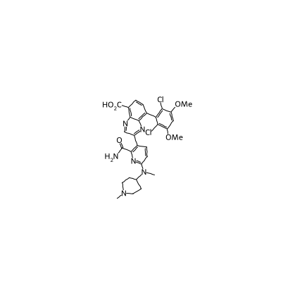 COc1cc(OC)c(Cl)c(-c2ccc(C(=O)O)c3ncc(-c4ccc(N(C)C5CCN(C)CC5)nc4C(N)=O)nc23)c1Cl